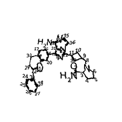 NC(=O)[C@@H]1CCCN1CC1CC(c2nc(-c3ccc4c(c3)O[C@@H](c3ccccc3)CC4)c3c(N)nccn23)C1